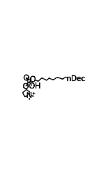 CCCCCCCCCCCCCCCCCCOP(=O)(O)OC1CC[N+](C)(C)C1